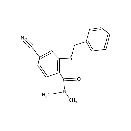 CN(C)C(=O)c1ccc(C#N)cc1SCc1ccccc1